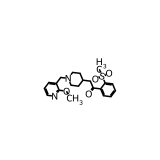 COc1ncccc1CN1CCC(CC(=O)c2ccccc2S(C)(=O)=O)CC1